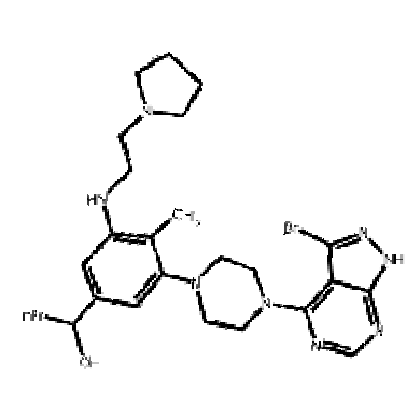 CCCC(O)c1cc(NCCN2CCCC2)c(C)c(N2CCN(c3ncnc4[nH]nc(Br)c34)CC2)c1